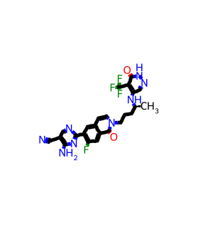 C[C@@H](CCCn1ccc2cc(-c3ncc(C#N)c(N)n3)c(F)cc2c1=O)Nc1cn[nH]c(=O)c1C(F)(F)F